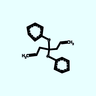 C=CCC(CC=C)([N]c1ccccc1)[N]c1ccccc1